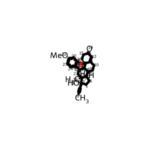 CC#C[C@]1(O)CC[C@H]2[C@@H]3CCC4=CC(=O)CC[C@@]45Sc4cc(OC)ccc4[C@@H](C[C@@]21C)[C@@H]35